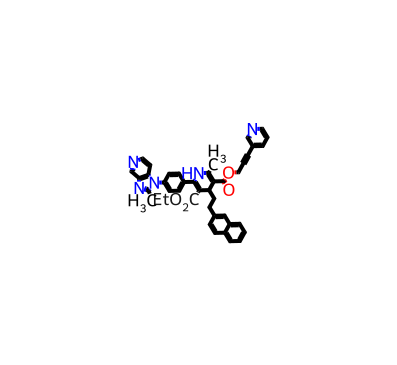 CCOC(=O)C1=C(c2ccc(-n3c(C)nc4cnccc43)cc2)NC(C)=C(C(=O)OCC#Cc2cccnc2)C1CCc1ccc2ccccc2c1